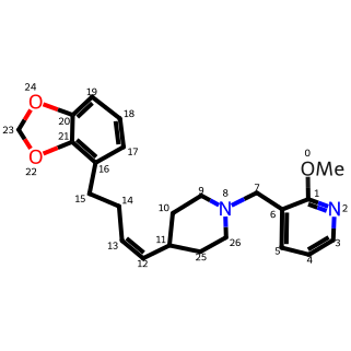 COc1ncccc1CN1CCC(/C=C\CCc2cccc3c2OCO3)CC1